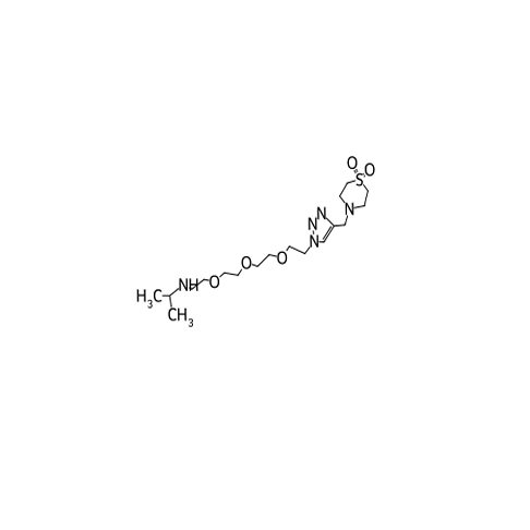 CC(C)NCCOCCOCCOCCn1cc(CN2CCS(=O)(=O)CC2)nn1